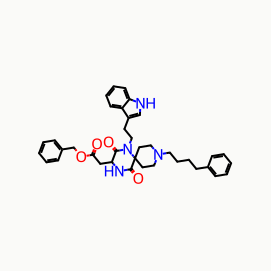 O=C(CC1NC(=O)C2(CCN(CCCCc3ccccc3)CC2)N(CCc2c[nH]c3ccccc23)C1=O)OCc1ccccc1